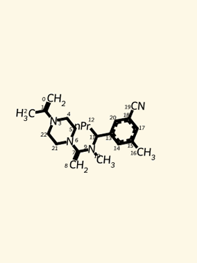 C=C(C)N1CCN(C(=C)N(C)C(CCC)c2cc(C)cc(C#N)c2)CC1